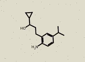 CC(C)c1ccc(N)c(CCC(O)C2CC2)c1